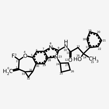 C=C1C(F)Oc2cc3nc(NC(=O)CC(C)(O)c4ccccc4)n(C4CCC4)c3cc2C2CC12